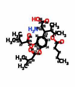 CCCCC(=O)OC(C)C(C)C(c1ccc(OC(=O)CC(C)C)c(OC(=O)CC(C)C)c1)[C@H](N)C(=O)O